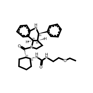 CCOCCNC(=O)N[C@@H]1CCCC[C@@H]1C(=O)N1CC[C@@H]2[C@H](c3ccccc3)Nc3ccccc3[C@@H]21